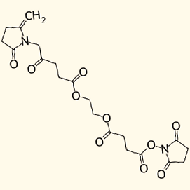 C=C1CCC(=O)N1CC(=O)CCC(=O)OCCOC(=O)CCC(=O)ON1C(=O)CCC1=O